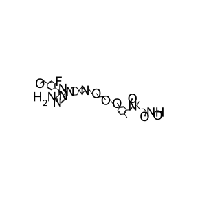 Cc1ccc(OCCOCCOCCN2CC3(CCN(c4nc(-c5ccc(C=O)cc5F)c5c(N)nccn45)CC3)C2)cc1CN(C=O)C(C)CCC(=O)NC=O